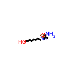 C/C(=C/N(S)CCCCCCCCO)C(N)=O